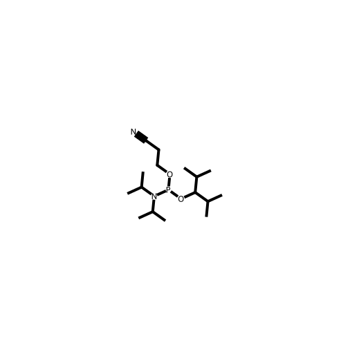 CC(C)C(OP(OCCC#N)N(C(C)C)C(C)C)C(C)C